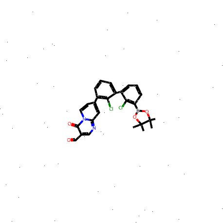 CC1(C)OB(c2cccc(-c3cccc(-c4ccn5c(=O)c(C=O)cnc5c4)c3Cl)c2Cl)OC1(C)C